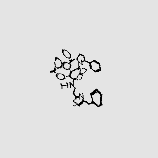 CC(=O)O[C@@H](C(=O)NCCc1nc(Cc2ccccc2)cs1)[C@@H](OC(C)=O)C(=O)N1CCCC1c1ccccc1